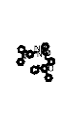 CC1(c2cc(-c3ccccc3)c3oc4cccc(Cc5oc6ccccc6c5/N=C(\N)c5ccc6c(c5)c5c(n6-c6ccccc6)CCC=C5)c4c3c2)C=CC=CC1